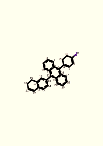 IC1=CC=C(c2c3ccccc3c(-c3ccc4c(c3)CCC=C4)c3ccccc23)CC1